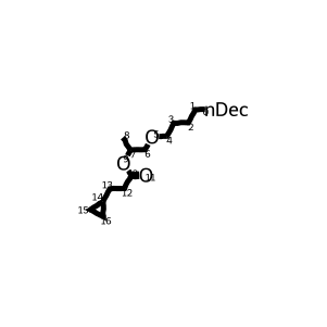 CCCCCCCCCCCCCCOCC(C)OC(=O)CCC1CC1